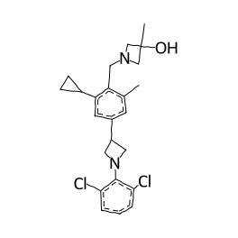 Cc1cc(C2CN(c3c(Cl)cccc3Cl)C2)cc(C2CC2)c1CN1CC(C)(O)C1